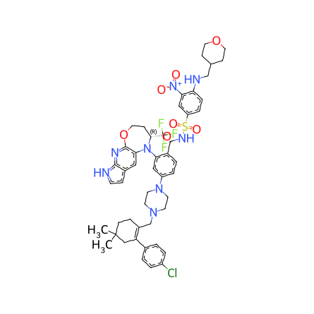 CC1(C)CCC(CN2CCN(c3ccc(C(=O)NS(=O)(=O)c4ccc(NCC5CCOCC5)c([N+](=O)[O-])c4)c(N4c5cc6cc[nH]c6nc5OCC[C@@H]4C(F)(F)F)c3)CC2)=C(c2ccc(Cl)cc2)C1